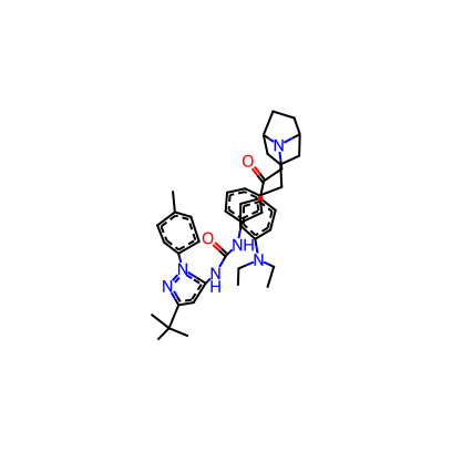 CCN(CC)c1ccc(C(=O)CN2C3CCC2CC(Cc2cccc(NC(=O)Nc4cc(C(C)(C)C)nn4-c4ccc(C)cc4)c2)C3)cc1